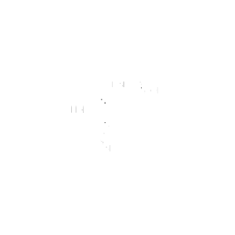 CNCCN(CCNC(C)(C)/C(C)=N/O)CCNC(C)(C)/C(C)=N/O